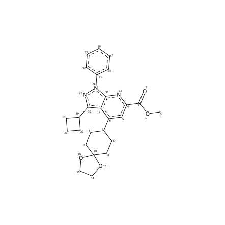 COC(=O)c1cc(C2CCC3(CC2)OCCO3)c2c(C3CCC3)nn(-c3ccccc3)c2n1